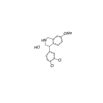 COc1ccc2c(c1)CNCC2c1ccc(Cl)c(Cl)c1.Cl